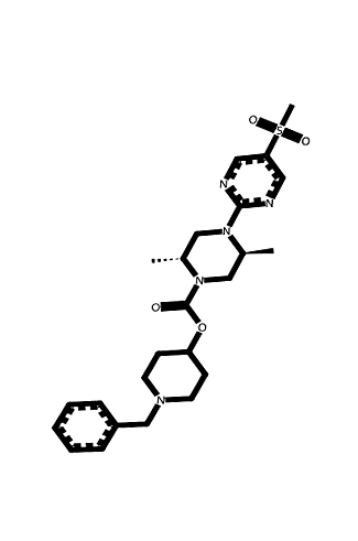 C[C@@H]1CN(c2ncc(S(C)(=O)=O)cn2)[C@@H](C)CN1C(=O)OC1CCN(Cc2ccccc2)CC1